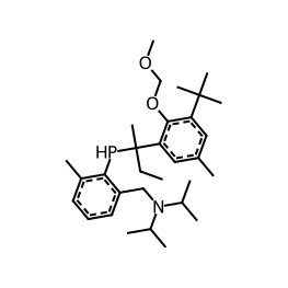 CCC(C)(Pc1c(C)cccc1CN(C(C)C)C(C)C)c1cc(C)cc(C(C)(C)C)c1OCOC